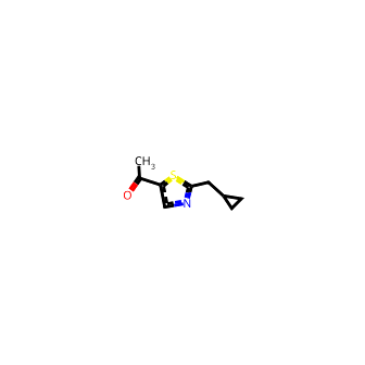 CC(=O)c1cnc(CC2CC2)s1